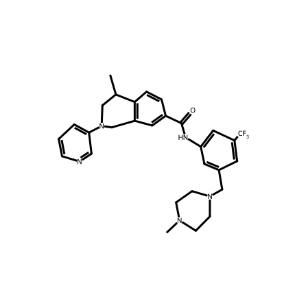 CC1CN(c2cccnc2)Cc2cc(C(=O)Nc3cc(CN4CCN(C)CC4)cc(C(F)(F)F)c3)ccc21